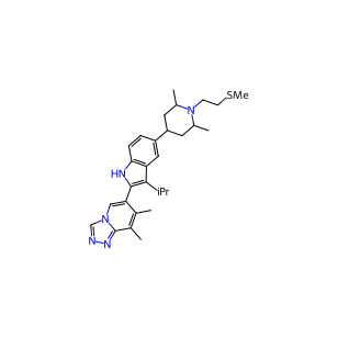 CSCCN1C(C)CC(c2ccc3[nH]c(-c4cn5cnnc5c(C)c4C)c(C(C)C)c3c2)CC1C